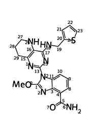 COc1nc2c(C(N)=O)cccc2n1-c1nc2c(c(NCc3cccs3)n1)NCCC2